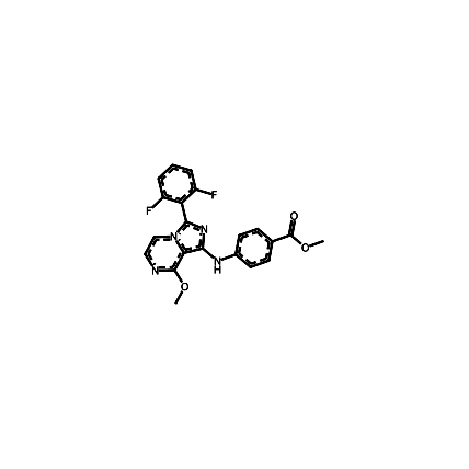 COC(=O)c1ccc(Nc2nc(-c3c(F)cccc3F)n3ccnc(OC)c23)cc1